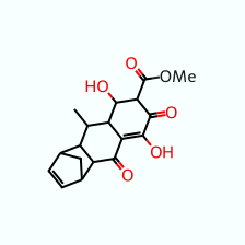 COC(=O)C1C(=O)C(O)=C2C(=O)C3C4C=CC(C4)C3C(C)C2C1O